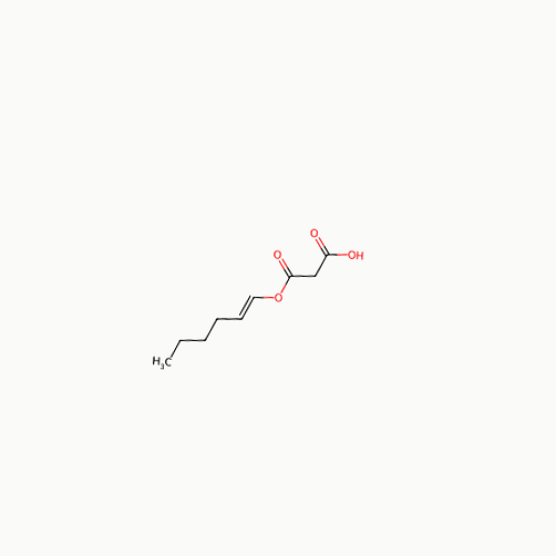 CCCCC=COC(=O)CC(=O)O